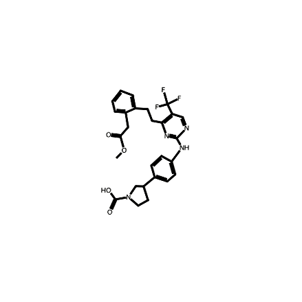 COC(=O)Cc1ccccc1CCc1nc(Nc2ccc(C3CCN(C(=O)O)C3)cc2)ncc1C(F)(F)F